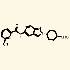 N#Cc1cccc(C(=O)Nc2cc3cn([C@H]4CC[C@H](C=O)CC4)nc3cn2)n1